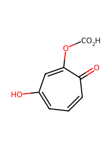 O=C(O)Oc1cc(O)cccc1=O